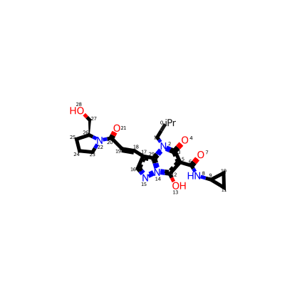 CC(C)Cn1c(=O)c(C(=O)NC2CC2)c(O)n2ncc(/C=C/C(=O)N3CCC[C@H]3CO)c12